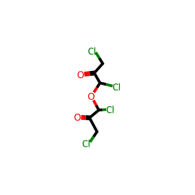 O=C(CCl)C(Cl)OC(Cl)C(=O)CCl